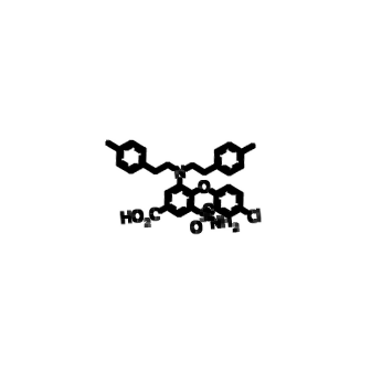 Cc1ccc(CCN(CCc2ccc(C)cc2)c2cc(C(=O)O)cc(S(N)(=O)=O)c2Oc2ccc(Cl)cc2)cc1